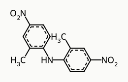 Cc1cc([N+](=O)[O-])ccc1Nc1ccc([N+](=O)[O-])cc1C